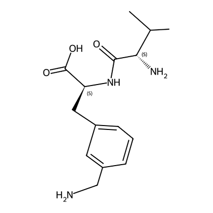 CC(C)[C@H](N)C(=O)N[C@@H](Cc1cccc(CN)c1)C(=O)O